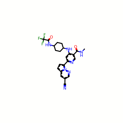 CNC(=O)c1cnc(-c2ccc3cc(C#N)cnn23)cc1NC1CCC(NC(=O)C(F)(F)F)CC1